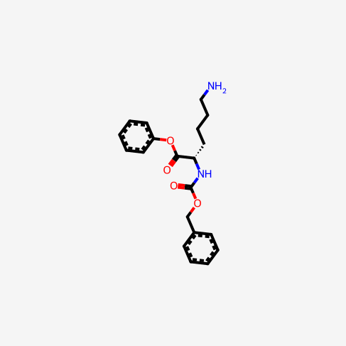 NCCCC[C@H](NC(=O)OCc1ccccc1)C(=O)Oc1ccccc1